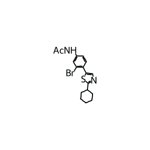 CC(=O)Nc1ccc(-c2cnc(C3CCCCC3)s2)c(Br)c1